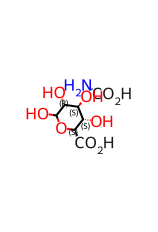 NC(=O)O.O=C(O)[C@H]1OC(O)[C@H](O)[C@@H](O)[C@@H]1O